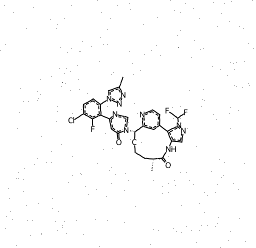 Cc1cn(-c2ccc(Cl)c(F)c2-c2cc(=O)n([C@H]3CCC[C@@H](C)C(=O)Nc4cnn(C(F)F)c4-c4ccnc3c4)cn2)nn1